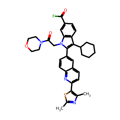 Cc1nc(C)c(-c2ccc3cc(-c4c(C5CCCCC5)c5ccc(C(=O)F)cc5n4CC(=O)N4CCOCC4)ccc3n2)s1